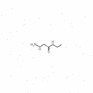 CCNC(=O)CBN